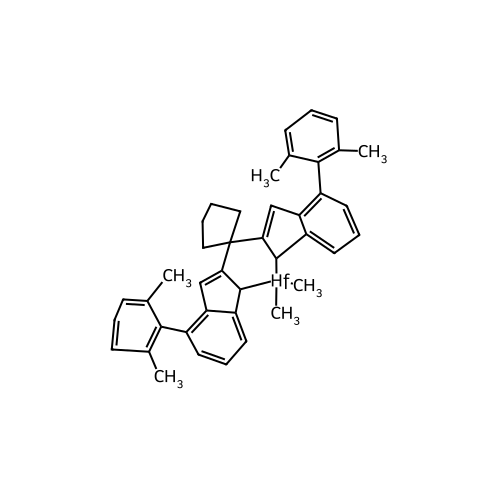 Cc1cccc(C)c1-c1cccc2c1C=C1[CH]2[Hf]([CH3])([CH3])[CH]2C(=Cc3c(-c4c(C)cccc4C)cccc32)C12CCCC2